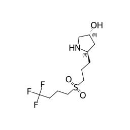 O=S(=O)(CCC[C@@H]1C[C@@H](O)CN1)CCCC(F)(F)F